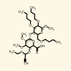 C#CC(OCC)O[C@@H]1C(C(=O)O)O[C@@H](O[C@@H]2C(COCCCC)O[C@H](OC)C(OCCCC)[C@H]2OCCCC)[C@@H](OC)C1OC